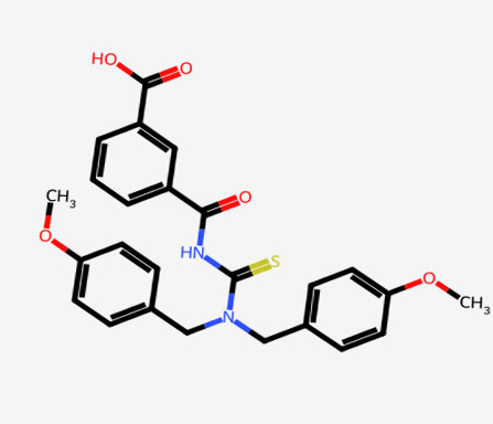 COc1ccc(CN(Cc2ccc(OC)cc2)C(=S)NC(=O)c2cccc(C(=O)O)c2)cc1